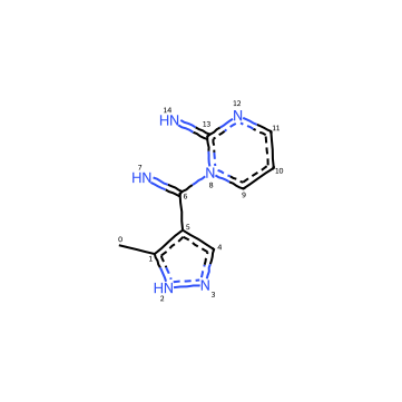 Cc1[nH]ncc1C(=N)n1cccnc1=N